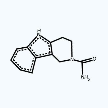 NC(=O)N1CCc2[nH]c3ccccc3c2C1